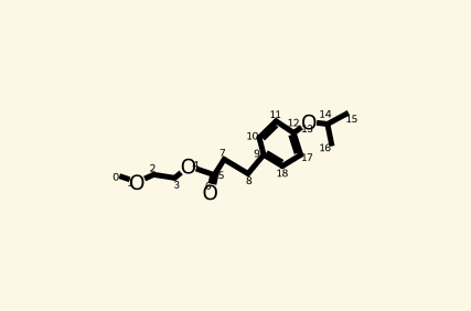 COCCOC(=O)CCc1ccc(OC(C)C)cc1